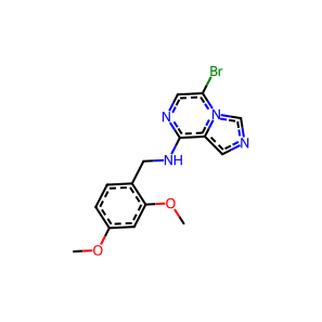 COc1ccc(CNc2ncc(Br)n3cncc23)c(OC)c1